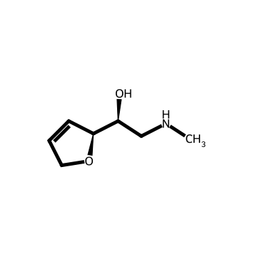 CNC[C@H](O)[C@@H]1C=CCO1